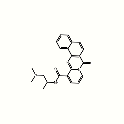 CC(CN(C)C)NC(=O)c1cccn2c(=O)c3ccc4ccccc4c3nc12